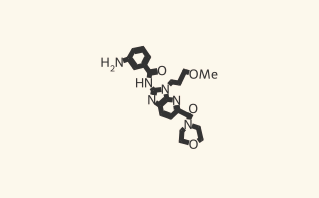 COCCCn1c(NC(=O)c2cccc(N)c2)nc2ccc(C(=O)N3CCOCC3)nc21